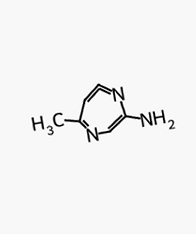 CC1=NC=C(N)N=C=C1